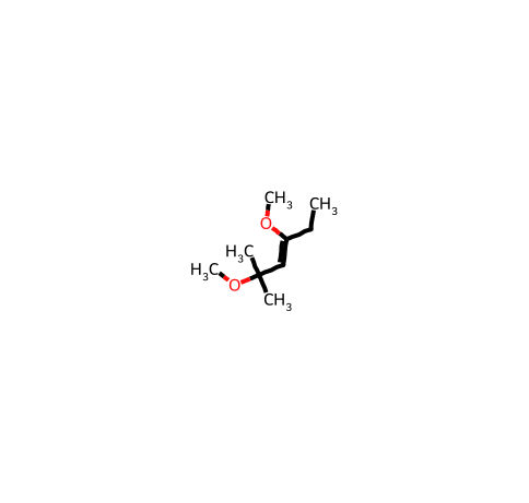 CC/C(=C/C(C)(C)OC)OC